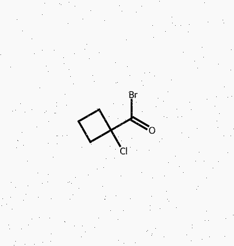 O=C(Br)C1(Cl)CCC1